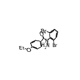 CCOc1ccc(C(=O)N(N)c2c(Br)cccc2Br)cc1